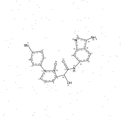 CC(C)(C)c1ccc(-n2cccc(C(O)C(=O)Nc3ccc4c(N)onc4c3)c2=O)cc1